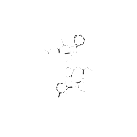 CCC(=O)OC1[C@@H](COP(=S)(NC(C)C(=O)OC(C)C)Oc2ccccc2)O[C@@H](n2ccc(=O)[nH]c2=O)C1(C)OC(=O)CC